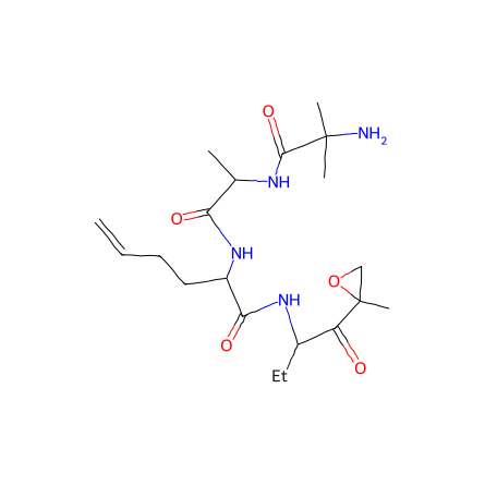 C=CCCC(NC(=O)C(C)NC(=O)C(C)(C)N)C(=O)NC(CC)C(=O)C1(C)CO1